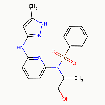 Cc1cc(Nc2cccc(N(C(C)CO)S(=O)(=O)c3ccccc3)n2)n[nH]1